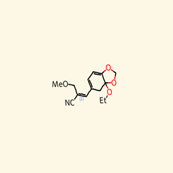 CCOC12CC(/C=C(/C#N)COC)=CC=C1OCO2